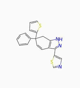 C1=CC(c2ccccc2)(c2cccs2)Cc2[nH]nc(-c3cncs3)c21